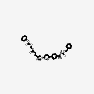 N=C(NC(=O)OCc1ccccc1)c1ccc(-c2ccc(-n3cnc(CCC(=O)OCOC(=O)OC4CCCCC4)c3)nn2)cc1